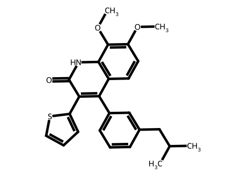 COc1ccc2c(-c3cccc(CC(C)C)c3)c(-c3cccs3)c(=O)[nH]c2c1OC